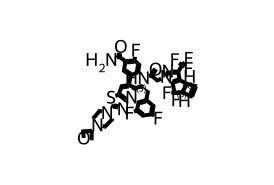 NC(=O)c1cc(-c2cc3sc(N4CCN(C5COC5)CC4)nc3nc2[C@H](Cc2cc(F)cc(F)c2)NC(=O)Cn2nc(C(F)(F)F)c3c2C(F)(F)[C@@H]2C#C[C@H]32)ccc1F